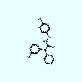 CC(=O)c1ccc(ONC(=O)N(c2ccccc2)c2cccc(C(C)(C)C)c2)cc1